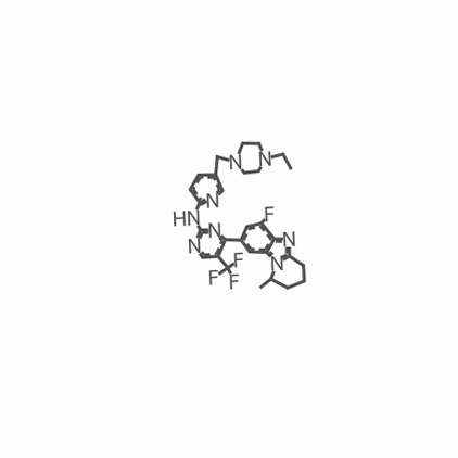 CCN1CCN(Cc2ccc(Nc3ncc(C(F)(F)F)c(-c4cc(F)c5nc6n(c5c4)C(C)CCC6)n3)nc2)CC1